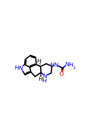 NC(=O)NC1CN[C@@H]2Cc3c[nH]c4cccc(c34)[C@H]2C1